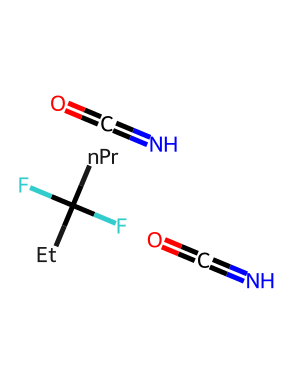 CCCC(F)(F)CC.N=C=O.N=C=O